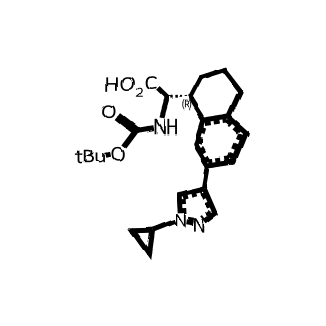 CC(C)(C)OC(=O)NC(C(=O)O)[C@@H]1CCCc2ccc(-c3cnn(C4CC4)c3)cc21